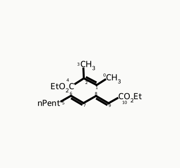 C/C=C(\C)C(=O)OCC.CCCCCC=CC=CC(=O)OCC